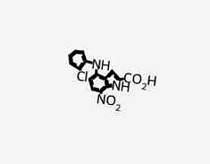 O=C(O)c1cc2c(Nc3ccccc3Cl)ccc([N+](=O)[O-])c2[nH]1